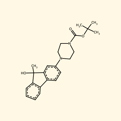 CC(C)(C)OC(=O)N1CCN(c2ccc3c(c2)C(C)(O)c2ccccc2-3)CC1